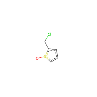 [O-][s+]1cccc1CCl